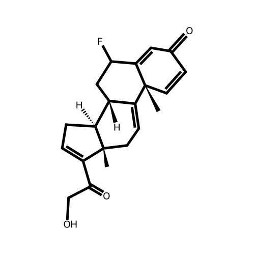 C[C@]12C=CC(=O)C=C1C(F)C[C@@H]1C2=CC[C@]2(C)C(C(=O)CO)=CC[C@@H]12